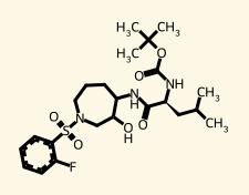 CC(C)C[C@H](NC(=O)OC(C)(C)C)C(=O)NC1CCCN(S(=O)(=O)c2ccccc2F)CC1O